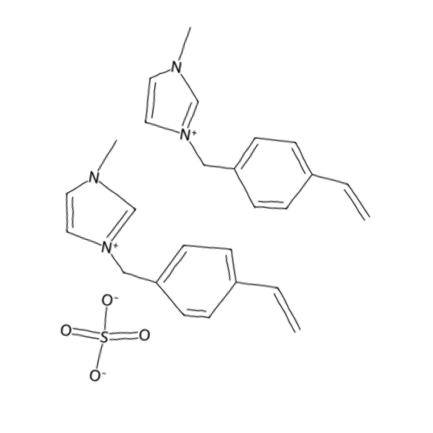 C=Cc1ccc(C[n+]2ccn(C)c2)cc1.C=Cc1ccc(C[n+]2ccn(C)c2)cc1.O=S(=O)([O-])[O-]